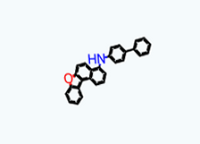 c1ccc(-c2ccc(Nc3cccc4c3ccc3oc5ccccc5c34)cc2)cc1